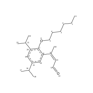 CCCCCCOc1c(/C(C)=C\C=O)cc(C(C)C)cc1C(C)C